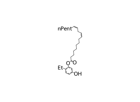 CCCCC/C=C\C/C=C\CCCCCCCC(=O)Oc1cc(O)ccc1CC